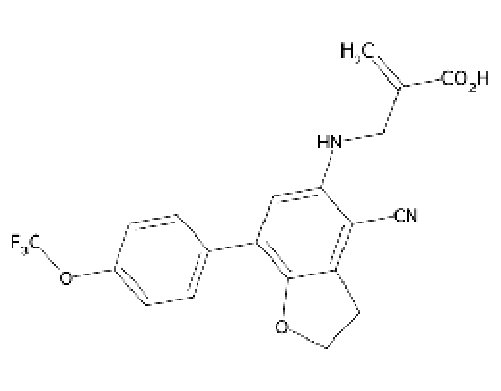 C=C(CNc1cc(-c2ccc(OC(F)(F)F)cc2)c2c(c1C#N)CCO2)C(=O)O